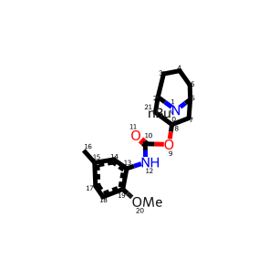 CCCCN1C2CCCC1CC(OC(=O)Nc1cc(C)ccc1OC)C2